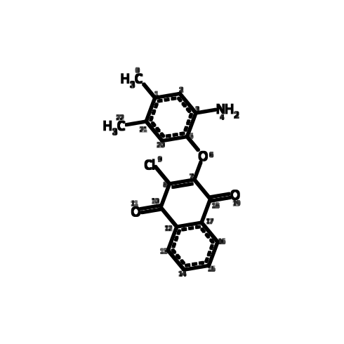 Cc1cc(N)c(OC2=C(Cl)C(=O)c3ccccc3C2=O)cc1C